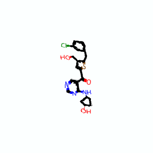 O=C(c1cc(CO)c(Cc2cccc(Cl)c2)s1)c1cncnc1N[C@@H]1C[CH][C@H](O)C1